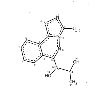 Cc1nnc2c3ccccc3c(N(O)C(C)O)nn12